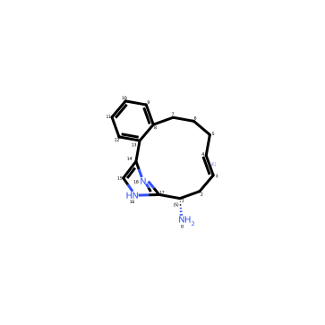 N[C@H]1C/C=C/CCCc2ccccc2-c2c[nH]c1n2